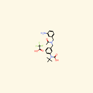 CC(=O)N(Cc1cccc(N)c1)Cc1cccc(N(C(=O)O)C(C)(C)C)c1.O=C(O)C(F)(F)F